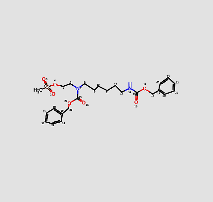 CS(=O)(=O)OCCN(CCCCCCNC(=O)OCc1ccccc1)C(=O)OCc1ccccc1